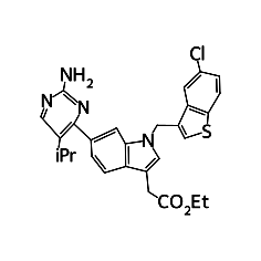 CCOC(=O)Cc1cn(Cc2csc3ccc(Cl)cc23)c2cc(-c3nc(N)ncc3C(C)C)ccc12